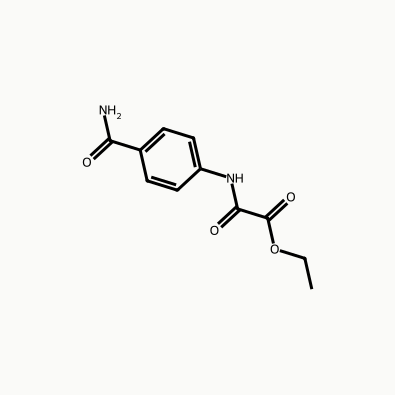 CCOC(=O)C(=O)Nc1ccc(C(N)=O)cc1